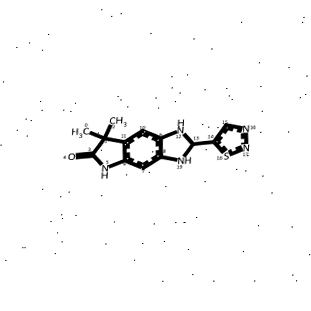 CC1(C)C(=O)Nc2cc3c(cc21)NC(c1cnns1)N3